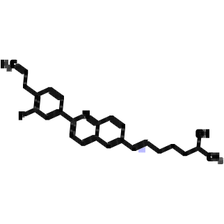 C=CCc1ccc(-c2ccc3cc(/C=C/CCCC(C)O)ccc3n2)cc1F